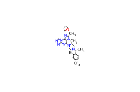 CC[C@@H]1CN(c2nc3nncn3c3c2nc(C)n3C[C@@H]2CCCO2)[C@@H](C)CN1[C@H](C)c1ccc(C(F)(F)F)cc1